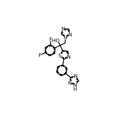 OC(Cn1cncn1)(c1cnc(-c2cccc(-c3nc[nH]n3)c2)s1)c1ccc(F)cc1F